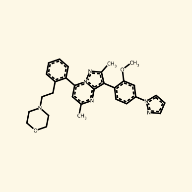 COc1cc(-n2cccn2)ccc1-c1c(C)nn2c(-c3ccccc3CCN3CCOCC3)cc(C)nc12